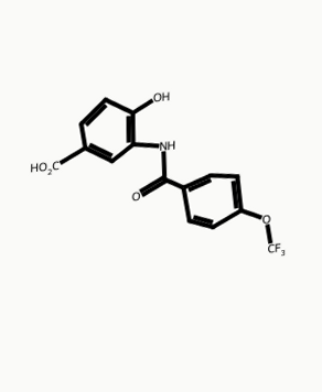 O=C(O)c1ccc(O)c(NC(=O)c2ccc(OC(F)(F)F)cc2)c1